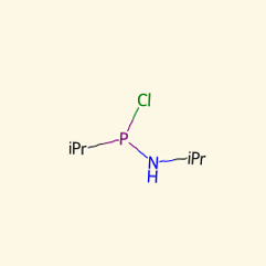 CC(C)NP(Cl)C(C)C